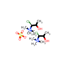 CC(O)[C@H](Cl)[N+](C)(C)C.CC(O)[C@H](Cl)[N+](C)(C)C.O=S(=O)([O-])[O-]